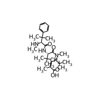 CN[C@H](C(=O)N[C@H](C(=O)N(C)[C@H](/C=C(/C)C(=O)O)C(C)C)C(C)(C)C)C(C)(C)c1ccccc1